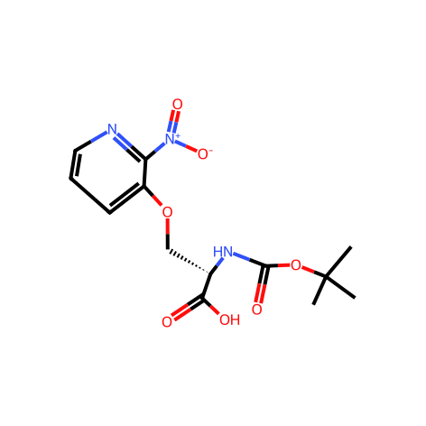 CC(C)(C)OC(=O)N[C@@H](COc1cccnc1[N+](=O)[O-])C(=O)O